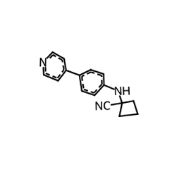 N#CC1(Nc2ccc(-c3ccncc3)cc2)CCC1